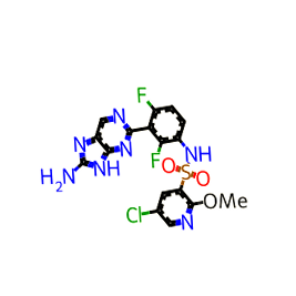 COc1ncc(Cl)cc1S(=O)(=O)Nc1ccc(F)c(-c2ncc3nc(N)[nH]c3n2)c1F